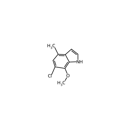 COc1c(Cl)cc(C)c2cc[nH]c12